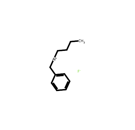 CCC[CH2][Al+][CH2]c1ccccc1.[F-]